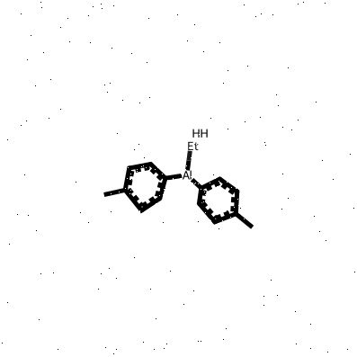 C[CH2][Al]([c]1ccc(C)cc1)[c]1ccc(C)cc1.[HH]